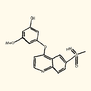 COc1cc(O)cc(Oc2ccnc3ccc(S(C)(=N)=O)cc23)c1